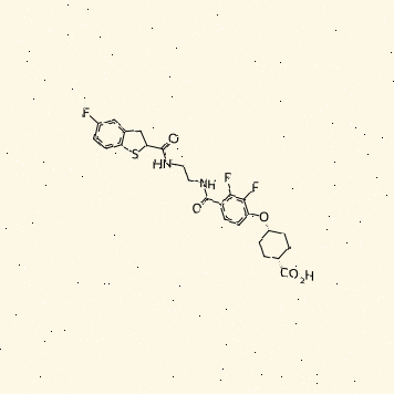 O=C(NCCNC(=O)C1Cc2cc(F)ccc2S1)c1ccc(O[C@H]2CC[C@@H](C(=O)O)CC2)c(F)c1F